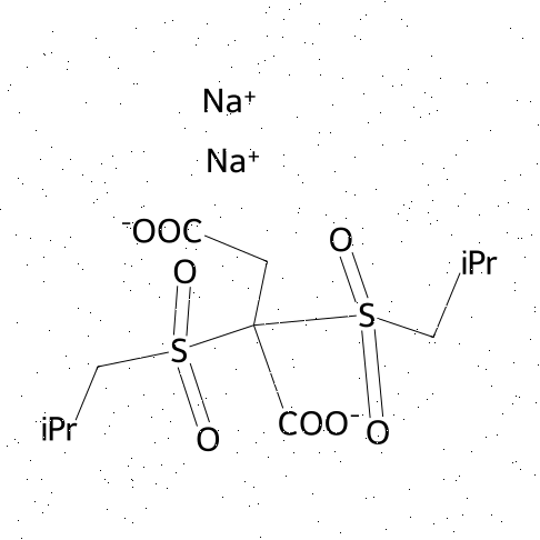 CC(C)CS(=O)(=O)C(CC(=O)[O-])(C(=O)[O-])S(=O)(=O)CC(C)C.[Na+].[Na+]